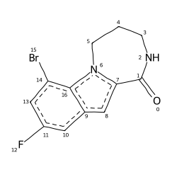 O=C1NCCCn2c1cc1cc(F)cc(Br)c12